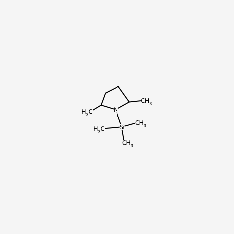 CC1CCC(C)N1[Si](C)(C)C